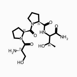 C[C@@H](O)C(NC(=O)[C@@H]1CCCN1C(=O)[C@@H]1CCCN1C(=O)[C@@H](N)CO)C(N)=O